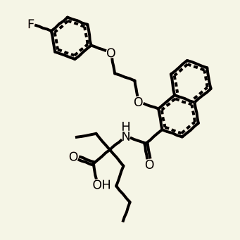 CCCCC(CC)(NC(=O)c1ccc2ccccc2c1OCCOc1ccc(F)cc1)C(=O)O